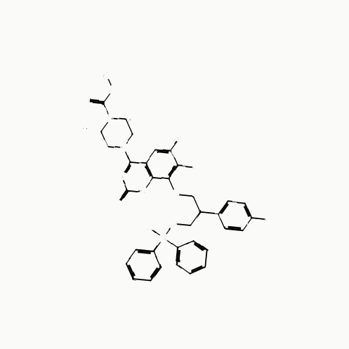 C[C@@H]1CN(c2nc(=O)[nH]c3c(SCC(CO[Si](c4ccccc4)(c4ccccc4)C(C)(C)C)c4ccc(F)cc4)c(Cl)c(C(F)(F)F)cc23)C[C@H](C)N1C(=O)OC(C)(C)C